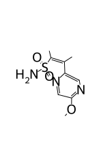 COc1cnc(C(C)=C(C)S(N)(=O)=O)cn1